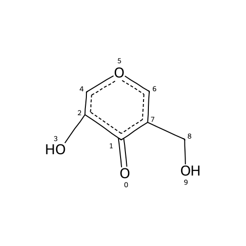 O=c1c(O)cocc1CO